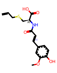 C=CCSC[C@H](NC(=O)/C=C/c1ccc(O)c(OC)c1)C(=O)O